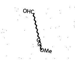 COCCOCOCCCCCCCCCCCCCC=O